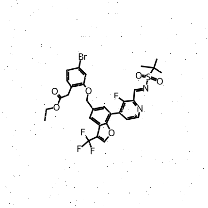 CCOC(=O)Cc1ccc(Br)cc1OCc1cc(-c2ccnc(C=NS(=O)(=O)C(C)(C)C)c2F)c2occ(C(F)(F)F)c2c1